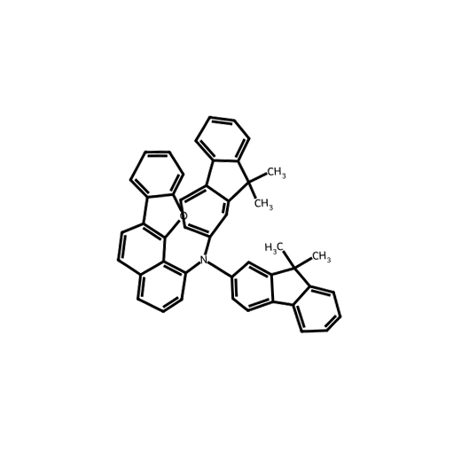 CC1(C)c2ccccc2-c2ccc(N(c3ccc4c(c3)C(C)(C)c3ccccc3-4)c3cccc4ccc5c6ccccc6oc5c34)cc21